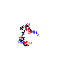 CC(/C=C/[C@H]1O[C@H](CC(N)=O)C[C@@]2(CO2)C1O[Si](C)(C)C(C)(C)C)=C\C[C@@H]1O[C@H](C)[C@H](NC(=O)/C=C\[C@H](C)O)C[C@@H]1C